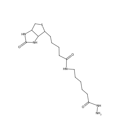 NNC(=O)CCCCCNC(=O)CCCCC1SCC2NC(=O)NC21